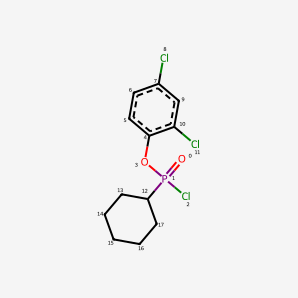 O=P(Cl)(Oc1ccc(Cl)cc1Cl)C1CCCCC1